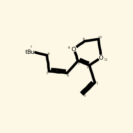 C=CC1=C(/C=C\CC(C)(C)C)OCCO1